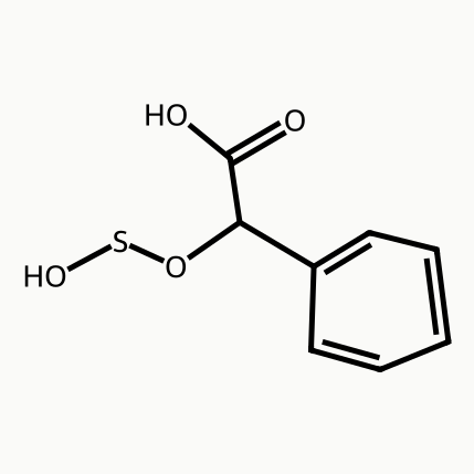 O=C(O)C(OSO)c1ccccc1